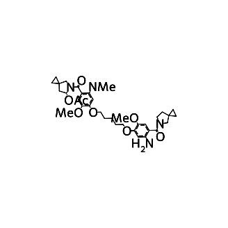 CNc1cc(OCCCCCOc2cc(N)c(C(=O)N3CCC4(CC4)C3)cc2OC)c(OC)cc1C(=O)N1CC2(CC2)C[C@H]1OC(C)=O